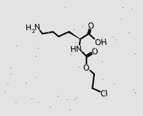 NCCCC[C@H](NC(=O)OCCCl)C(=O)O